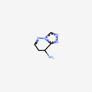 NC1C[C]=Nn2cnnc21